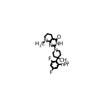 CCCc1cc(F)cc(F)c1C1(C)CCN(c2nc3c(c(=O)[nH]2)CCCN3C)CC1